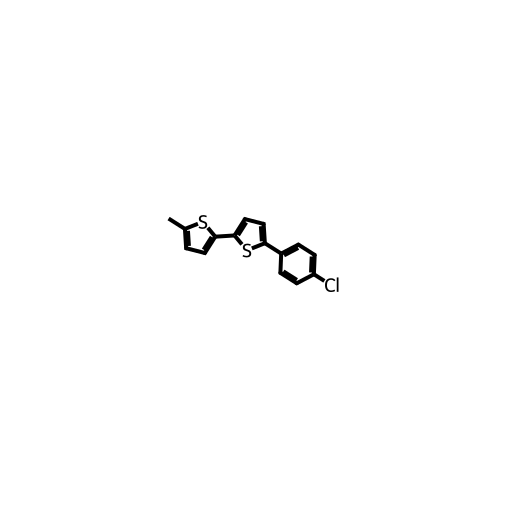 Cc1ccc(-c2ccc(-c3ccc(Cl)cc3)s2)s1